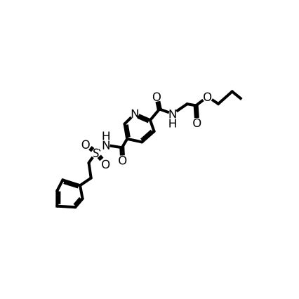 CCCOC(=O)CNC(=O)c1ccc(C(=O)NS(=O)(=O)CCc2ccccc2)cn1